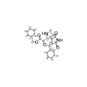 O=C1CS(=C(OC(C(=O)OCc2ccccc2)C2CCCN2)c2ccccc2)C(=O)N1